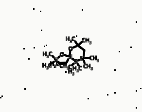 C=C[Si]1(O[Si](C)(C)C)OC(C)(C)C[Si](C)(C)[Si]1(C)C